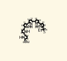 CCC(C)c1ccc(-c2ccc(-c3ccc(-c4ccc(-c5ccc(-c6ccc(C(C)(C)CC)[nH]6)[nH]5)[nH]4)[nH]3)[nH]2)[nH]1